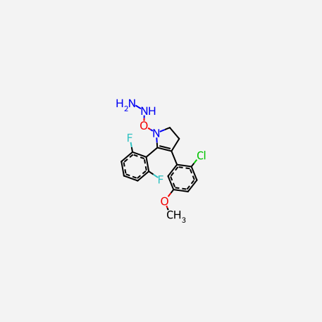 COc1ccc(Cl)c(C2=C(c3c(F)cccc3F)N(ONN)CC2)c1